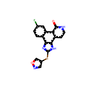 O=c1[nH]ccc2c3[nH]c(Sc4cnoc4)nc3c3ccc(F)cc3c12